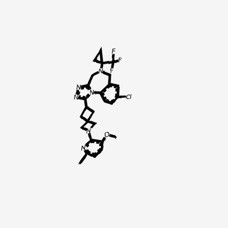 COc1ccc(C)nc1N1CC2(CC(c3nnc4n3-c3ccc(Cl)cc3CN(C3(C(F)(F)F)CC3)C4)C2)C1